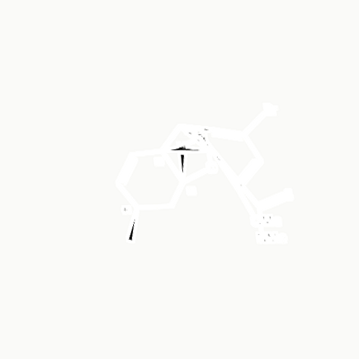 CNC(=S)N1CC[C@]23C=C[C@H](C)C[C@H]2Oc2c(OC)cc(Br)c(c23)C1